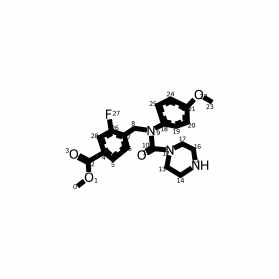 COC(=O)c1ccc(CN(C(=O)N2CCNCC2)c2ccc(OC)cc2)c(F)c1